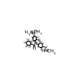 CNCc1ccc2c(c1)Sc1cc(N(C)C)ccc1N2C(=O)c1ccccc1